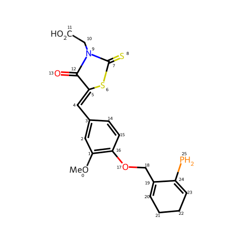 COc1cc(/C=C2\SC(=S)N(CC(=O)O)C2=O)ccc1OCC1=CCCC=C1P